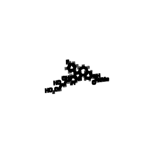 CNC(=O)Nc1ccc2c(c1)CCCc1c-2nc(C(C)C)c(/C=C/[C@@H](O)C[C@@H](O)CC(=O)O)c1-c1ccc(F)cc1